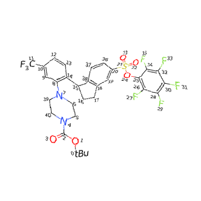 CC(C)(C)OC(=O)N1CCN(c2cc(C(F)(F)F)ccc2C2CCc3cc(S(=O)(=O)Oc4c(F)c(F)c(F)c(F)c4F)ccc32)CC1